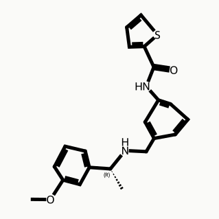 COc1cccc([C@@H](C)NCc2cccc(NC(=O)c3cccs3)c2)c1